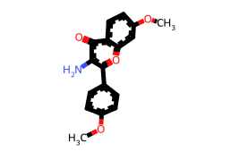 COc1ccc(-c2oc3cc(OC)ccc3c(=O)c2N)cc1